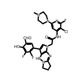 CN1CCN(c2cc(NC(=O)Cn3cc(-c4cc(C=O)c(O)c(F)c4F)c4c3N=C3CCCN3B4)c(Cl)c(F)n2)CC1